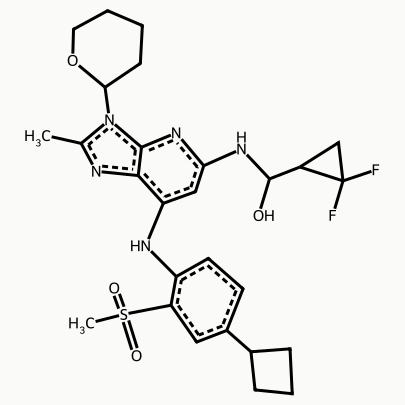 Cc1nc2c(Nc3ccc(C4CCC4)cc3S(C)(=O)=O)cc(NC(O)C3CC3(F)F)nc2n1C1CCCCO1